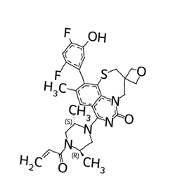 C=CC(=O)N1C[C@H](C)N(c2nc(=O)n3c4c(c(-c5cc(O)c(F)cc5F)c(C)cc24)SCC2(COC2)C3)C[C@H]1C